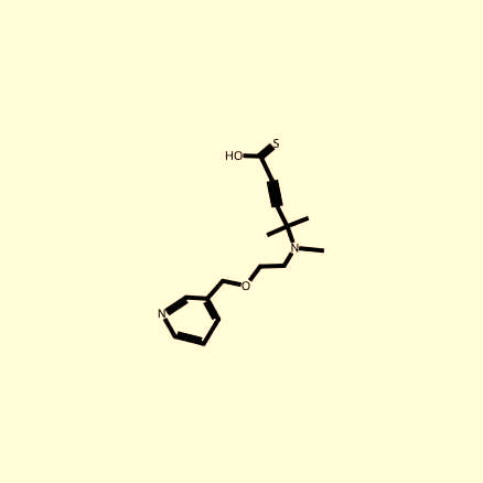 CN(CCOCc1cccnc1)C(C)(C)C#CC(O)=S